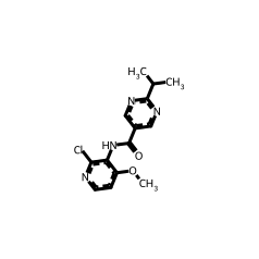 COc1ccnc(Cl)c1NC(=O)c1cnc(C(C)C)nc1